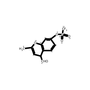 CC1=CC(C=O)c2ccc(OS(=O)(=O)C(F)(F)F)cc2O1